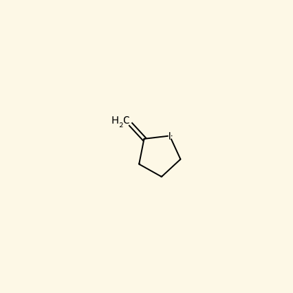 C=C1CCC[I]1